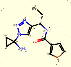 CC(C)C[C@H](NC(=O)c1ccsc1)c1cn(C2(N)CC2)nn1